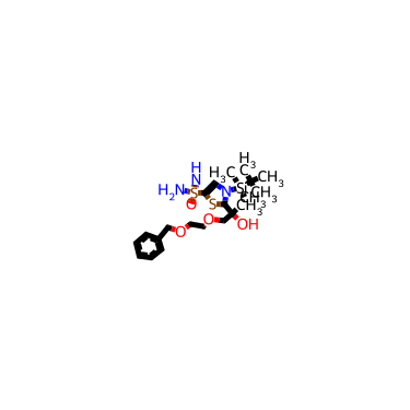 CC(O)(COCCOCc1ccccc1)C1SC(S(=N)(N)=O)=CN1[Si](C)(C)C(C)(C)C